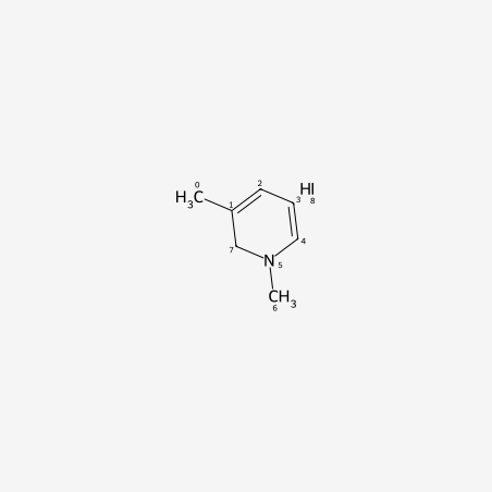 CC1=CC=CN(C)C1.I